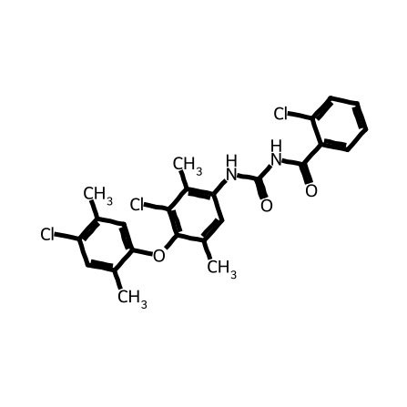 Cc1cc(Oc2c(C)cc(NC(=O)NC(=O)c3ccccc3Cl)c(C)c2Cl)c(C)cc1Cl